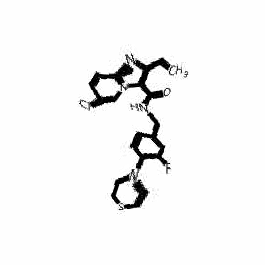 CCc1nc2ccc(Cl)cn2c1C(=O)NCc1ccc(N2CCSCC2)c(F)c1